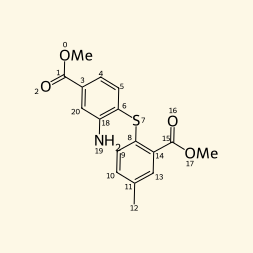 COC(=O)c1ccc(Sc2ccc(C)cc2C(=O)OC)c(N)c1